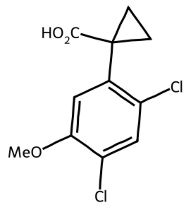 COc1cc(C2(C(=O)O)CC2)c(Cl)cc1Cl